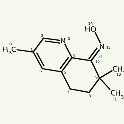 Cc1cnc2c(c1)CCC(C)(C)/C2=N/O